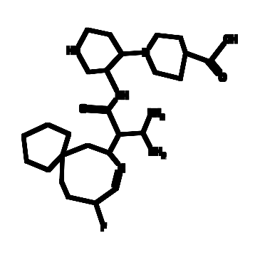 NC(N)C(C(=O)NC1CNCCC1N1CCC(C(=O)O)CC1)C1CC2(CCCCC2)CCC(F)/C=N\1